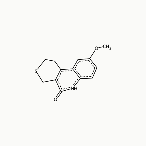 COc1ccc2[nH]c(=O)c3c(c2c1)CCSC3